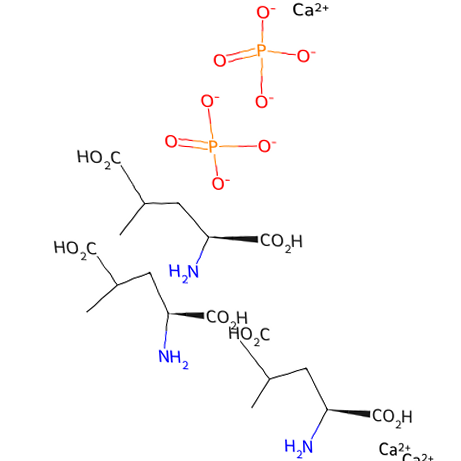 CC(C[C@H](N)C(=O)O)C(=O)O.CC(C[C@H](N)C(=O)O)C(=O)O.CC(C[C@H](N)C(=O)O)C(=O)O.O=P([O-])([O-])[O-].O=P([O-])([O-])[O-].[Ca+2].[Ca+2].[Ca+2]